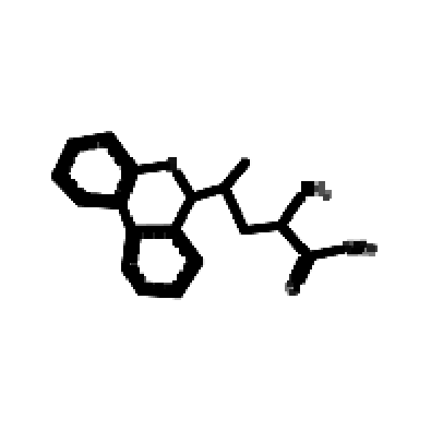 CNC(=O)C(N)CC(C)C1Sc2ccccc2-c2ccccc21